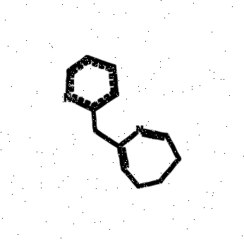 C1=NC(Cc2ccccn2)=CCCC1